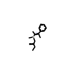 C=C(CC)CN(C)/C(C)=C(\C)c1ccccc1